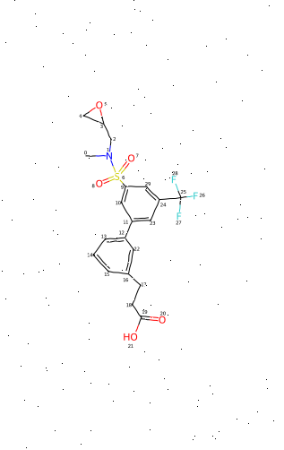 CN(CC1CO1)S(=O)(=O)c1cc(-c2cccc(CCC(=O)O)c2)cc(C(F)(F)F)c1